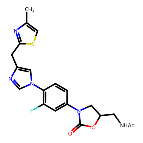 CC(=O)NCC1CN(c2ccc(-n3cnc(Cc4nc(C)cs4)c3)c(F)c2)C(=O)O1